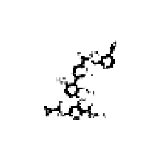 C=C(/C=C\C(=C/C)c1c(C)ccc(Nc2cc(NC(=O)C3CC3)nnc2C(=O)NC)c1OC)C(=O)N(C)Cc1cc(C#N)ccn1